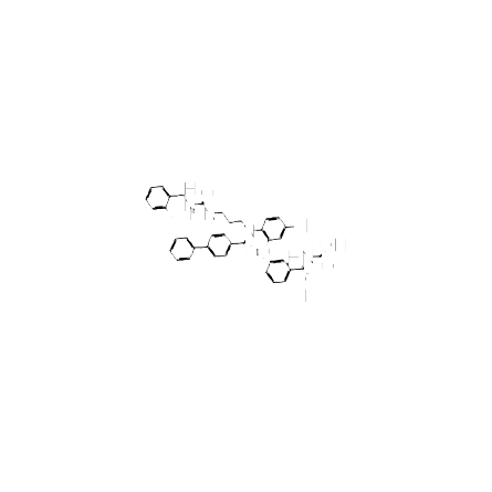 C[C@H](NC(=O)O)c1cccc(Oc2cc(Cl)ccc2N(CCCNC(=O)NCc2ccccc2F)C(=O)c2ccc(-c3ccccc3)cc2)c1